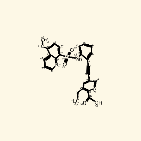 CCc1cc(C#Cc2ccccc2NS(=O)(=O)c2ccc(OC)c3cccnc23)cnc1C(=O)O